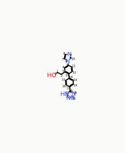 OCCc1cc(-n2ccnc2)ccc1-c1ccc(-c2nnn[nH]2)cc1